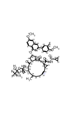 COc1ccc2c(O[C@@H]3C[C@H]4C(=O)N[C@]5(C(=O)N[S+]([O-])C6CC6)CC5/C=C\CC[C@@H](C)C[C@@H](C)[C@H](NC(=O)OC(C)(C)C(F)(F)F)C(=O)N4C3)nc(-c3ccc(OC)c(F)c3)cc2c1